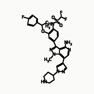 CC(Oc1cc(-c2nn(C)c3c(-c4cnn(C5CCNCC5)c4)cnc(N)c23)ccc1NS(=O)(=O)C(F)F)c1ccc(F)cc1